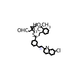 CC(C)(O)c1ccccc1CC[C@@H](SCC1(CC=O)CC1F)c1cccc(/C=C/c2ccc3ccc(Cl)cc3n2)c1